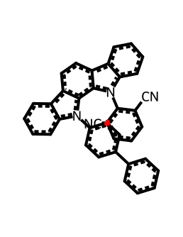 N#Cc1cccc(C#N)c1-n1c2ccccc2c2ccc3c4ccccc4n(-c4ccc(-c5ccccc5)cc4)c3c21